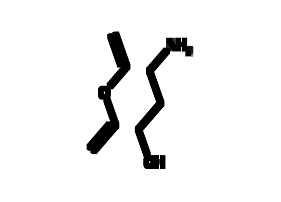 C=COC=C.NCCCO